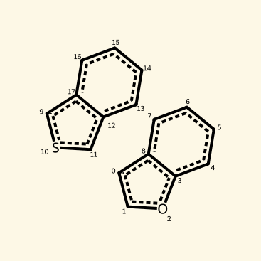 [c]1coc2ccccc12.[c]1scc2ccccc12